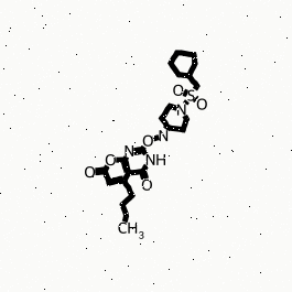 CCCCc1cc(=O)oc2nc(ON=C3CCN(S(=O)(=O)CC4CCCCC4)CC3)[nH]c(=O)c12